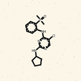 CP(C)(=O)c1ccccc1Nc1nc(NC2CCCC2)ncc1Cl